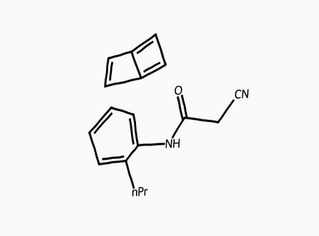 CCCc1ccccc1NC(=O)CC#N.c1cc2ccc1-2